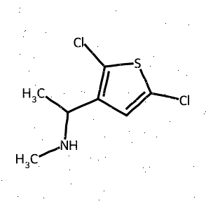 CNC(C)c1cc(Cl)sc1Cl